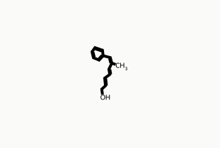 CC(=Cc1ccccc1)/C=C/C=C/CO